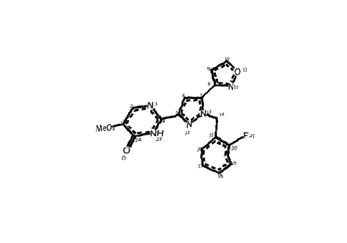 COc1cnc(-c2cc(-c3ccon3)n(Cc3ccccc3F)n2)[nH]c1=O